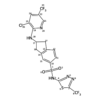 O=S(=O)(Nc1nnc(C(F)(F)F)s1)c1ccc2c(c1)CC(Nc1ncc(C(F)(F)F)cc1Cl)C2